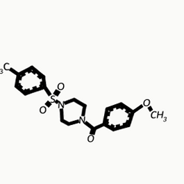 COc1ccc(C(=O)N2CCN(S(=O)(=O)c3ccc(C)cc3)CC2)cc1